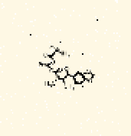 CC(C)C(OC(=O)[C@@H](N)C(C)C)OC(=O)N(C)C(C)C(=O)c1ccc2c(c1)OCO2